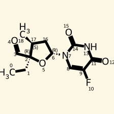 CC[C@@]1(C=O)O[C@@H](n2cc(F)c(=O)[nH]c2=O)C[C@@H]1C